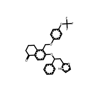 O=C1CCCc2c1ccc(OC(Cc1ncc[nH]1)c1ccccc1)c2COc1ccc(OC(F)(F)F)cc1